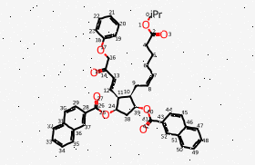 CC(C)OC(=O)CCC/C=C\C[C@@H]1[C@H](/C=C/C(=O)COc2ccccc2)[C@H](OC(=O)c2ccc3ccccc3c2)C[C@@H]1OC(=O)c1ccc2ccccc2c1